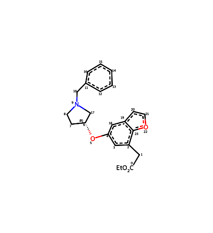 CCOC(=O)Cc1cc(O[C@@H]2CCN(Cc3ccccc3)C2)cc2ccoc12